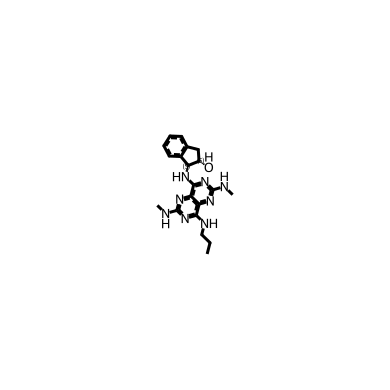 CCCNc1nc(NC)nc2c(N[C@H]3c4ccccc4C[C@@H]3O)nc(NC)nc12